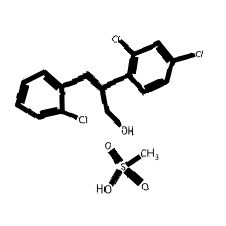 CS(=O)(=O)O.OCC(Cc1ccccc1Cl)c1ccc(Cl)cc1Cl